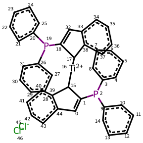 C1=C(P(c2ccccc2)c2ccccc2)[CH]([Ti+2][CH]2C(P(c3ccccc3)c3ccccc3)=Cc3ccccc32)c2ccccc21.[Cl-].[Cl-]